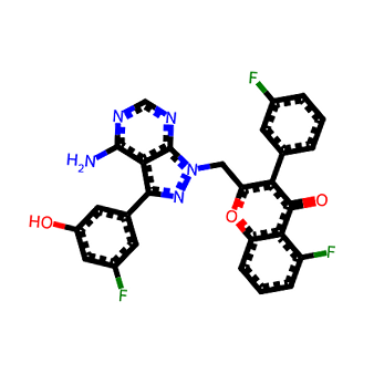 Nc1ncnc2c1c(-c1cc(O)cc(F)c1)nn2Cc1oc2cccc(F)c2c(=O)c1-c1cccc(F)c1